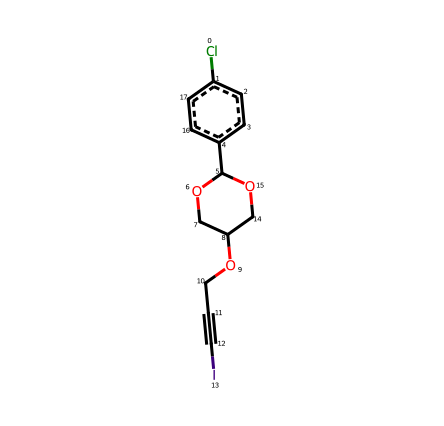 Clc1ccc(C2OCC(OCC#CI)CO2)cc1